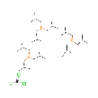 CC(C)CP(CC(C)C)CC(C)C.CC(C)CP(CC(C)C)CC(C)C.CC(C)CP(CC(C)C)CC(C)C.[Cl][Ir]([Cl])[Cl]